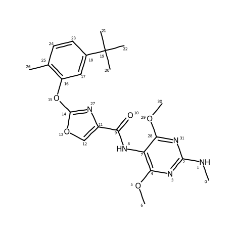 CNc1nc(OC)c(NC(=O)c2coc(Oc3cc(C(C)(C)C)ccc3C)n2)c(OC)n1